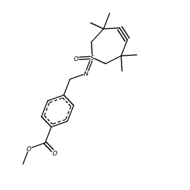 COC(=O)c1ccc(CN=S2(=O)CC(C)(C)C#CC(C)(C)C2)cc1